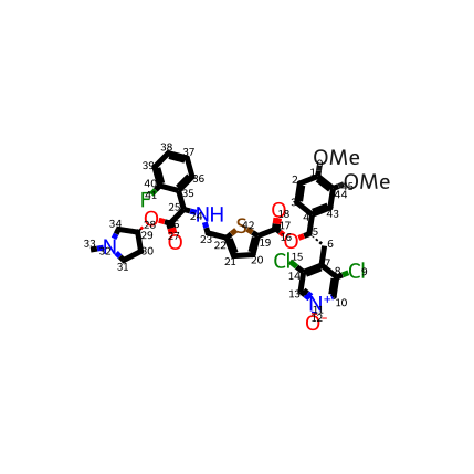 COc1ccc([C@H](Cc2c(Cl)c[n+]([O-])cc2Cl)OC(=O)c2ccc(CNC(C(=O)O[C@@H]3CCN(C)C3)c3ccccc3F)s2)cc1OC